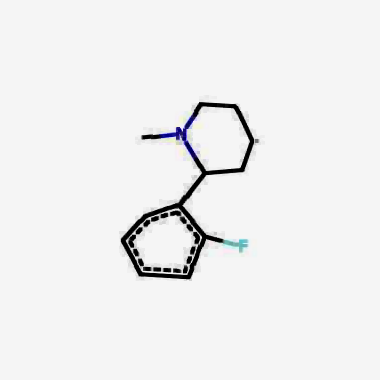 CN1CC[CH]CC1c1ccccc1F